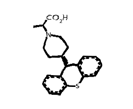 CC(C(=O)O)N1CCC(=C2c3ccccc3Sc3ccccc32)CC1